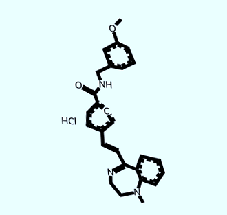 COc1cccc(CNC(=O)c2ccc(C=CC3=NCCN(C)c4ccccc43)cc2)c1.Cl